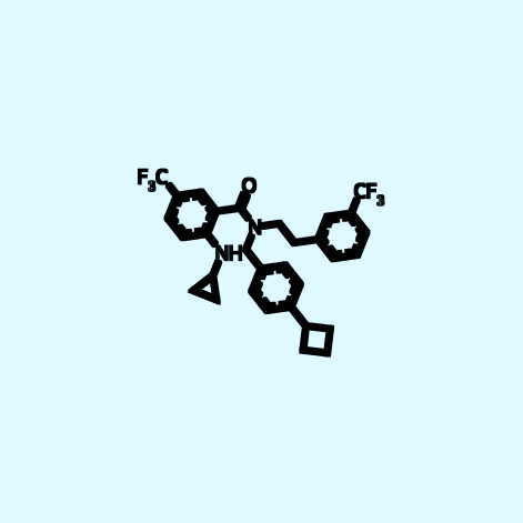 O=C(c1cc(C(F)(F)F)ccc1NC1CC1)N(CCc1cccc(C(F)(F)F)c1)Cc1ccc(C2CCC2)cc1